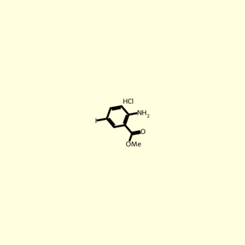 COC(=O)c1cc(I)ccc1N.Cl